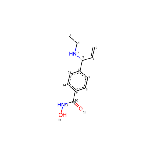 C=C[C@@H](NCC)c1ccc(C(=O)NO)cc1